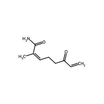 C=CC(=O)CCC=C(C)C(N)=O